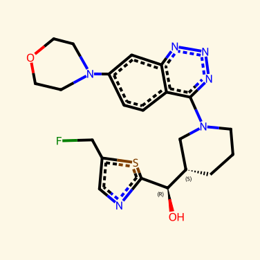 O[C@@H](c1ncc(CF)s1)[C@H]1CCCN(c2nnnc3cc(N4CCOCC4)ccc23)C1